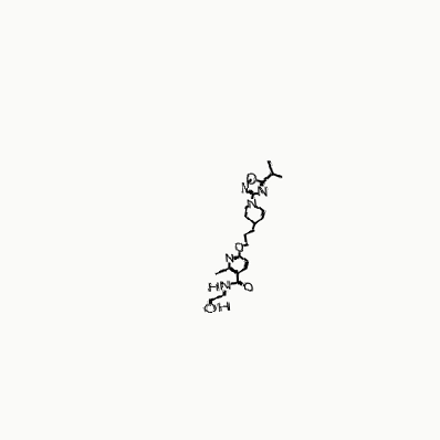 Cc1nc(OCCCC2CCN(c3noc(C(C)C)n3)CC2)ccc1C(=O)NCCO